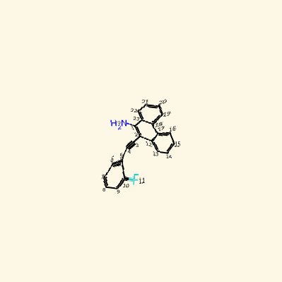 Nc1c(C#Cc2ccccc2F)c2ccccc2c2ccccc12